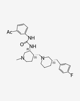 CC(=O)c1cccc(NC(=O)N[C@H]2CN(C)CC[C@H]2CN2CCC[C@@H](Cc3ccc(F)cc3)C2)c1